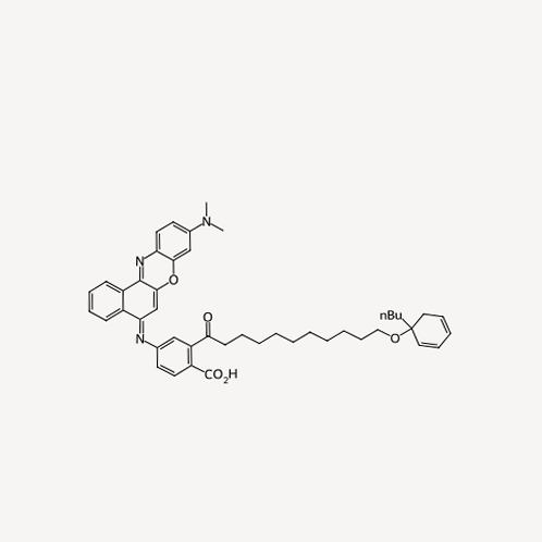 CCCCC1(OCCCCCCCCCCC(=O)c2cc(N=c3cc4oc5cc(N(C)C)ccc5nc-4c4ccccc34)ccc2C(=O)O)C=CC=CC1